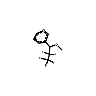 COC(c1cccnc1)C(F)(F)C(F)(F)F